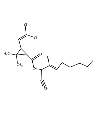 C#CC(OC(=O)C1C(C=C(Cl)Cl)C1(C)C)C(F)=CCCCCF